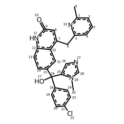 Cc1cccc(Cc2cc(=O)[nH]c3ccc(C(O)(c4ccc(Cl)cc4)c4cncn4C)cc23)n1